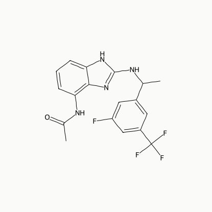 CC(=O)Nc1cccc2[nH]c(NC(C)c3cc(F)cc(C(F)(F)F)c3)nc12